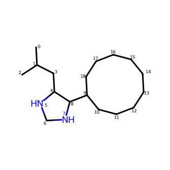 CC(C)CC1NCNC1C1CCCCCCCCC1